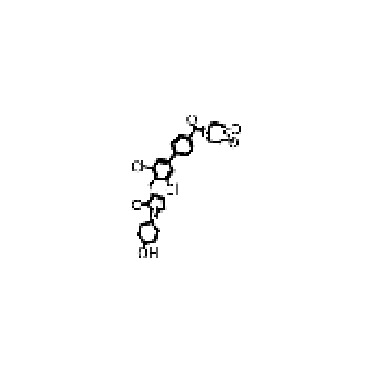 O=C(c1ccc(-c2cc(Cl)c(C[C@@H]3CCN(C4CCC(O)CC4)C3=O)c(Cl)c2)cc1)N1CCS(=O)(=O)CC1